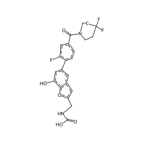 O=C(O)NCc1cc2cc(-c3ccc(C(=O)N4CCC(F)(F)CC4)cc3F)cc(O)c2o1